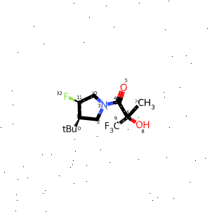 CC(C)(C)[C@@H]1CN(C(=O)C(C)(O)C(F)(F)F)C[C@@H]1F